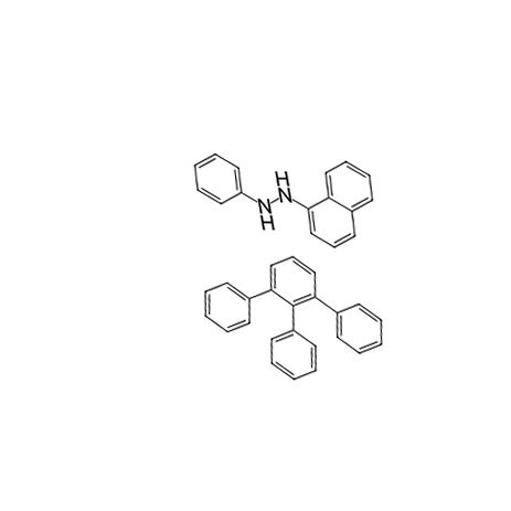 c1ccc(-c2cccc(-c3ccccc3)c2-c2ccccc2)cc1.c1ccc(NNc2cccc3ccccc23)cc1